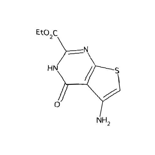 CCOC(=O)c1nc2scc(N)c2c(=O)[nH]1